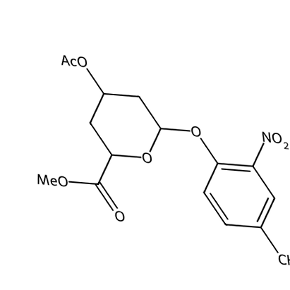 COC(=O)C1CC(OC(C)=O)CC(Oc2ccc(C=O)cc2[N+](=O)[O-])O1